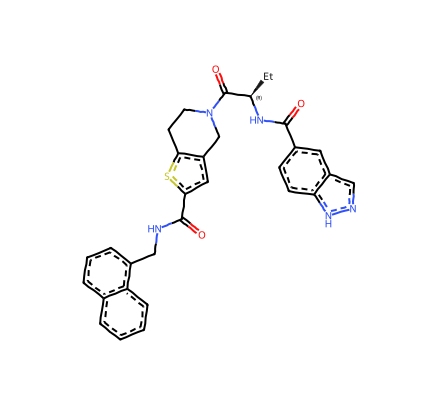 CC[C@@H](NC(=O)c1ccc2[nH]ncc2c1)C(=O)N1CCc2sc(C(=O)NCc3cccc4ccccc34)cc2C1